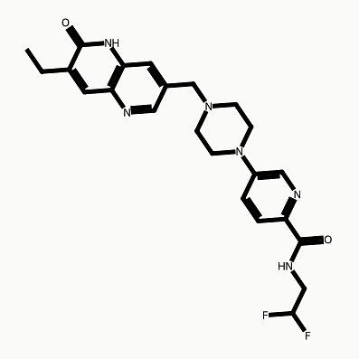 CCc1cc2ncc(CN3CCN(c4ccc(C(=O)NCC(F)F)nc4)CC3)cc2[nH]c1=O